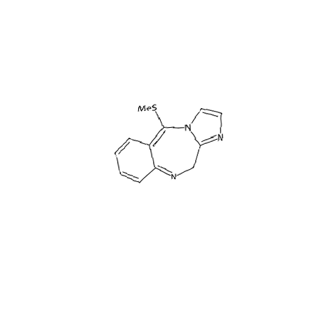 CSC1=c2ccccc2=NCc2nccn21